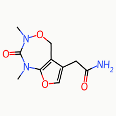 CN1OCc2c(CC(N)=O)coc2N(C)C1=O